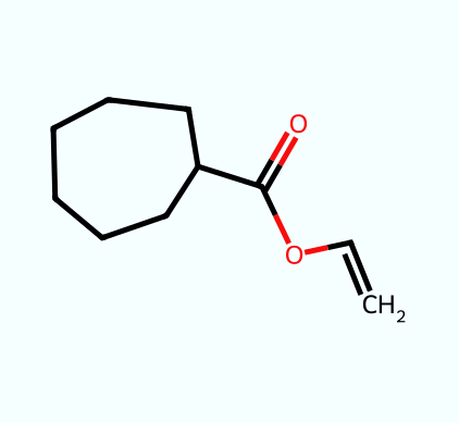 C=COC(=O)C1CCCCCC1